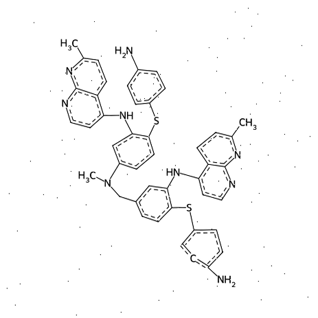 Cc1ccc2c(Nc3cc(CN(C)c4ccc(Sc5ccc(N)cc5)c(Nc5ccnc6nc(C)ccc56)c4)ccc3Sc3ccc(N)cc3)ccnc2n1